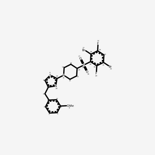 COc1cccc(Cc2csc(N3CCC(S(=O)(=O)c4c(F)c(Br)cc(F)c4Br)CC3)n2)c1